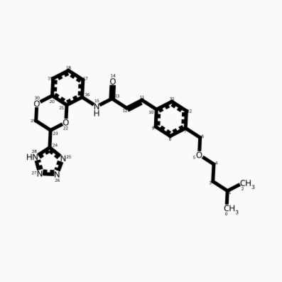 CC(C)CCOCc1ccc(C=CC(=O)Nc2cccc3c2OC(c2nnn[nH]2)CO3)cc1